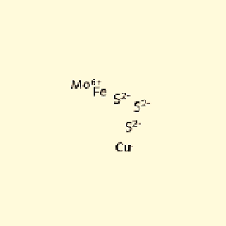 [Cu].[Fe].[Mo+6].[S-2].[S-2].[S-2]